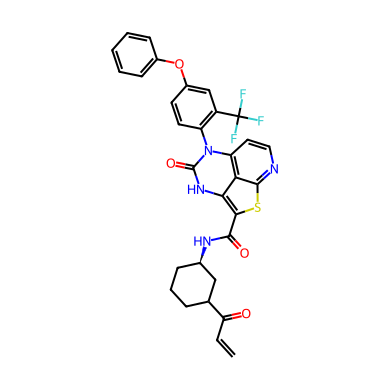 C=CC(=O)C1CCC[C@@H](NC(=O)c2sc3nccc4c3c2NC(=O)N4c2ccc(Oc3ccccc3)cc2C(F)(F)F)C1